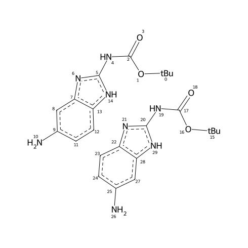 CC(C)(C)OC(=O)Nc1nc2cc(N)ccc2[nH]1.CC(C)(C)OC(=O)Nc1nc2ccc(N)cc2[nH]1